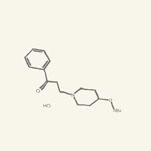 CCCCOC1CCN(CCC(=O)c2ccccc2)CC1.Cl